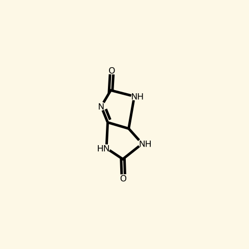 O=C1N=C2NC(=O)NC2N1